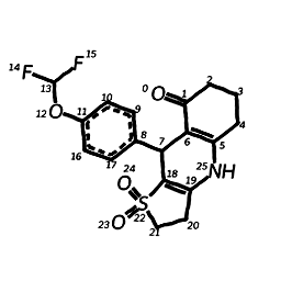 O=C1CCCC2=C1C(c1ccc(OC(F)F)cc1)C1=C(CCS1(=O)=O)N2